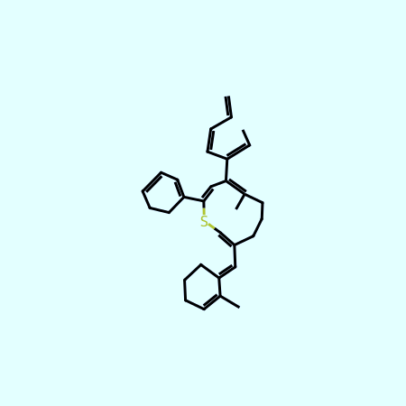 C=C\C=C/C(=C\C)C1=C(/C)CCCC(/C=C2\CCCC=C2C)=C/S/C(C2=CC=CCC2)=C\1